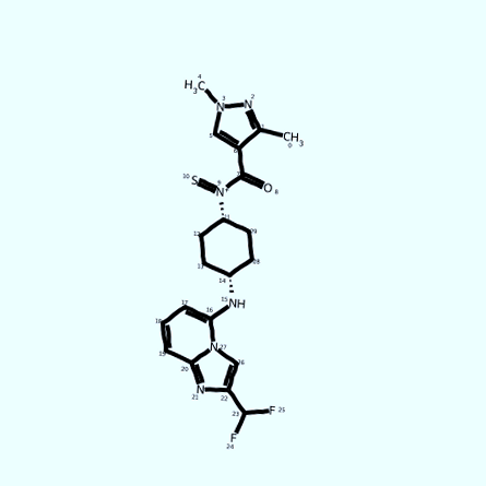 Cc1nn(C)cc1C(=O)[N+](=S)[C@H]1CC[C@@H](Nc2cccc3nc(C(F)F)cn23)CC1